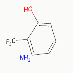 N.Oc1ccccc1C(F)(F)F